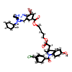 CCN(Cc1cc(C(=O)OCCCCOC(=O)Cc2c(C)n(C(=O)c3ccc(Cl)cc3)c3ccc(OC)cc23)cc(Br)c1N)C1CCCCC1